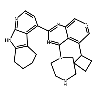 c1cc(-c2nc(N3CCNCC3)c3c(C4CCC4)cncc3n2)c2c3c([nH]c2n1)CCCC3